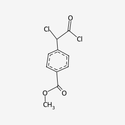 COC(=O)c1ccc(C(Cl)C(=O)Cl)cc1